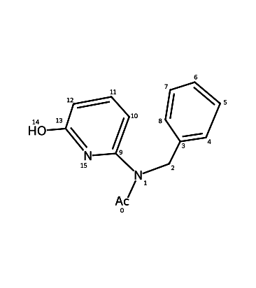 CC(=O)N(Cc1ccccc1)c1cccc(O)n1